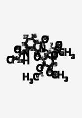 CCOc1cc([C@@H](CS(C)(=O)=O)N2C(=O)c3cccc(NC(=O)CCl)c3C2=O)ccc1OC